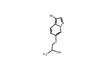 CC(O)COc1ccc2c(C#N)cnn2c1